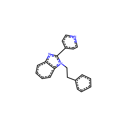 c1ccc(CCn2c(-c3ccncc3)nc3ccccc32)cc1